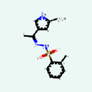 CC(=NNS(=O)(=O)c1ccccc1C)c1c[nH]c(C(=O)O)c1